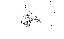 CC(=O)OC1CC2CCC=C[C@]2(C)C2=C1[C@@H]1CCC(O)(O)[C@@]1(C)CC2